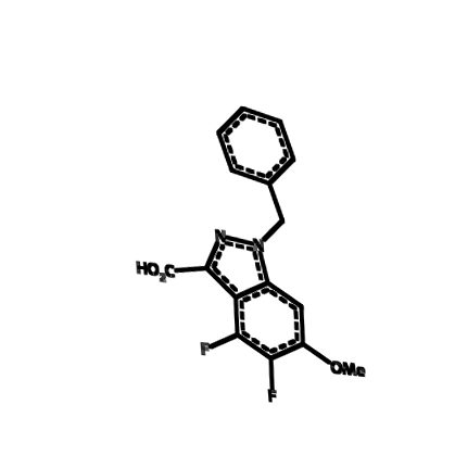 COc1cc2c(c(C(=O)O)nn2Cc2ccccc2)c(F)c1F